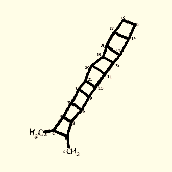 CC1C(C)C2C1C1C2C2C1C1C3C4C5C6CCC6C5C4C3C21